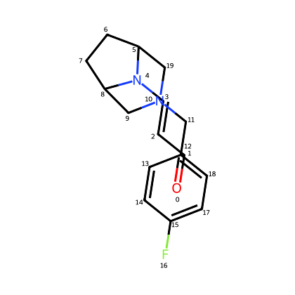 O=CC=CN1C2CCC1CN(Cc1ccc(F)cc1)C2